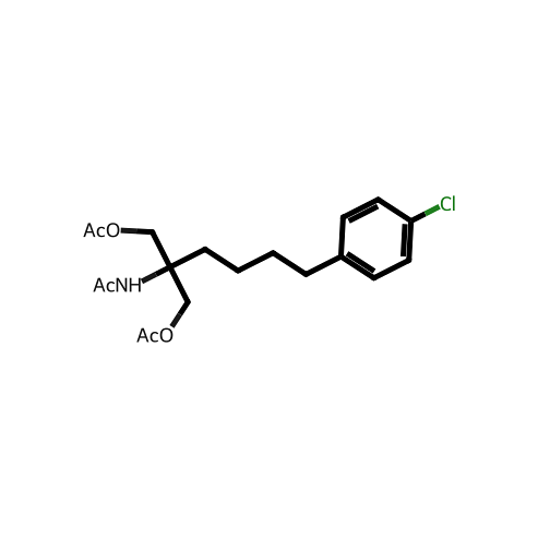 CC(=O)NC(CCCCc1ccc(Cl)cc1)(COC(C)=O)COC(C)=O